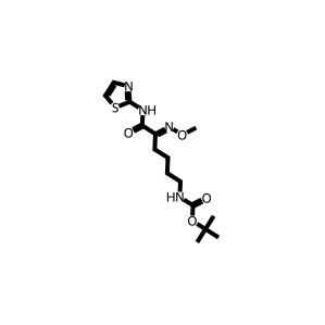 CON=C(CCCCNC(=O)OC(C)(C)C)C(=O)Nc1nccs1